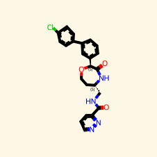 O=C(NC[C@@H]1CCO[C@@H](c2cccc(-c3ccc(Cl)cc3)c2)C(=O)N1)c1cccnn1